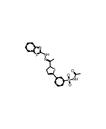 CC(=O)NS(=O)(=O)c1cccc(C2=CCC(/C(C)=N/Nc3nc4ccccc4s3)S2)c1